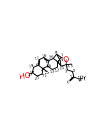 C=C(CCC1(C)OC2C3CC1C21CCC2C(=CC=C4CC(O)CCC42C)C31)C(C)C